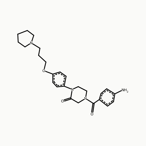 Nc1ccc(C(=O)N2CCN(c3ccc(OCCCN4CCCCC4)cc3)C(=O)C2)cc1